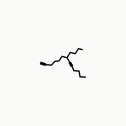 C#CCCCCC(C#CCCCC)CCC[CH2]